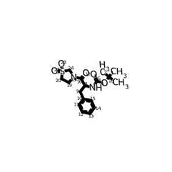 CC(C)(C)OC(=O)NC(Cc1ccccc1)C(=O)N1CCS(=O)(=O)C1